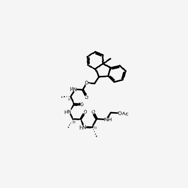 CC(=O)OCNC(=O)[C@H](C)NC(=O)[C@H](C)NC(=O)[C@H](C)NC(=O)OCC1c2ccccc2C2(C)C=CC=CC12